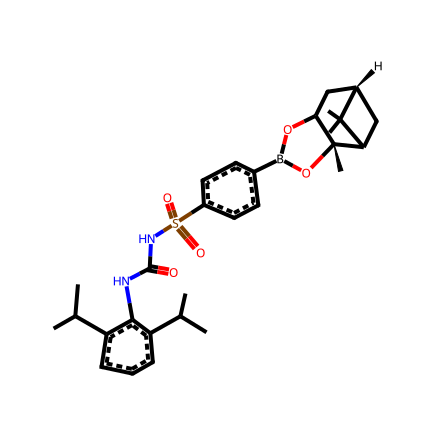 CC(C)c1cccc(C(C)C)c1NC(=O)NS(=O)(=O)c1ccc(B2OC3C[C@@H]4CC(C4(C)C)[C@]3(C)O2)cc1